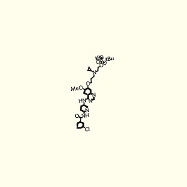 COc1cc2c(Nc3ccc(NC(=O)c4cccc(Cl)c4)nc3)ncnc2cc1OCCCN(CCOP(=O)(OC(C)(C)C)OC(C)(C)C)C1CC1